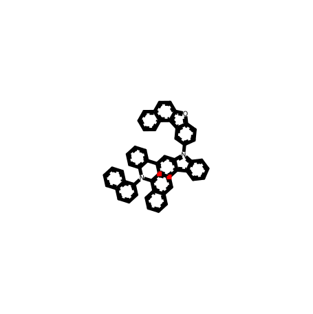 c1ccc(N(c2cccc3ccccc23)c2cccc3ccccc23)c(-c2ccc3c4ccccc4n(-c4ccc5oc6ccc7ccccc7c6c5c4)c3c2)c1